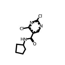 O=C(NC1CCCC1)c1cnc(Cl)nc1Cl